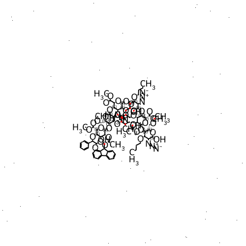 CCCCOC1[C@H](O[C@H]2O[C@@H](COC)[C@@H](O[C@@H]3O[C@@H](C(=O)OC)[C@@H](OC(C(=O)OCC4c5ccccc5-c5ccccc54)c4ccccc4)C(O)C3OC(C)=O)C(OCCCC)C2N=[N+]=[N-])C(C(=O)OC)O[C@@H](O[C@@H]2C(COC)O[C@H](O[C@H]3C(OCCCC)C(OC(C)=O)[C@H](O[C@H]4C(OCCCC)C(N=[N+]=[N-])[C@@H](O)O[C@H]4COC)O[C@H]3C(=O)OC)C(N=[N+]=[N-])[C@H]2OCCCC)[C@H]1OC(C)=O